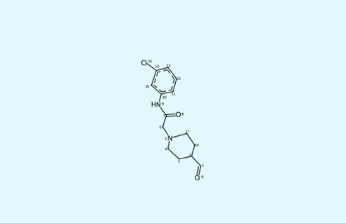 O=CC1CCN(CC(=O)Nc2cccc(Cl)c2)CC1